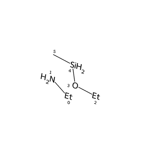 CCN.CCO[SiH2]C